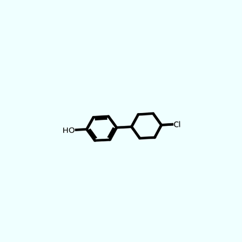 Oc1ccc(C2CCC(Cl)CC2)cc1